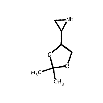 CC1(C)OCC(C2CN2)O1